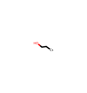 OC[CH2][Cs]